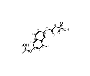 CC(O)OC1=CC(C)C2C=C(OC(=O)CS(=O)(=O)O)C=CC2=C1